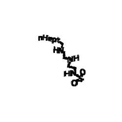 CCCCCCCCNCCNCCNS(C)(=O)=O